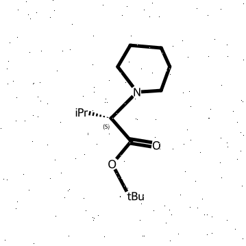 CC(C)[C@@H](C(=O)OC(C)(C)C)N1CCCCC1